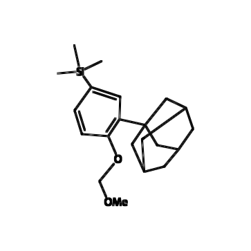 COCOc1ccc([Si](C)(C)C)cc1C12CC3CC(CC(C3)C1)C2